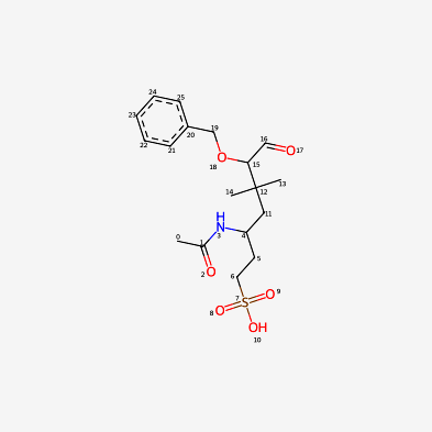 CC(=O)NC(CCS(=O)(=O)O)CC(C)(C)C(C=O)OCc1ccccc1